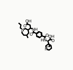 CCCN1CCC(C)CC(C(CC(=O)O)NC(=O)c2ccc(C(=O)N[C@@H](C(=O)O)C3CN4CCC3CC4)cc2)C1